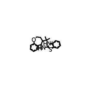 CC1(C)[C@H]2CCOc3ccccc3[C@H]2Nc2sc3ccccc3[n+]21